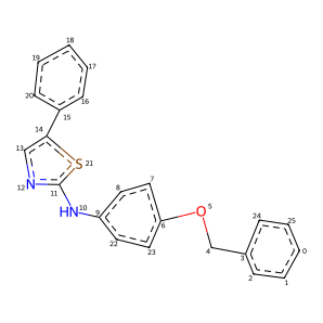 c1ccc(COc2ccc(Nc3ncc(-c4ccccc4)s3)cc2)cc1